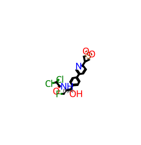 O=C(N[C@H](CF)[C@H](O)c1ccc(-c2ccc(C3CS(=O)(=O)C3)nc2)cc1)C(Cl)Cl